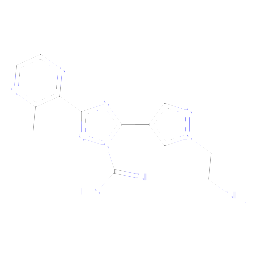 Cc1nccnc1-c1nc(-c2cnn(CCN)c2)n(C(=N)N)n1